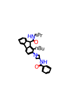 CCCCc1c(N2CC(NC(=O)c3ccccc3)C2)ccc2c1C(C(=O)NCCC)c1ccccc1-2